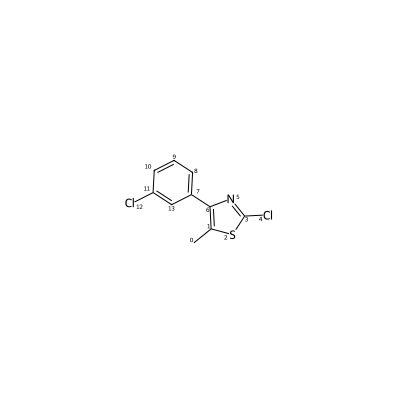 Cc1sc(Cl)nc1-c1cccc(Cl)c1